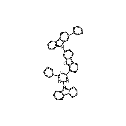 c1ccc(-c2ccc3c4ccccc4n(-c4ccc5c(c4)oc4c(-c6nc(-c7ccccc7)nc(-n7c8ccccc8c8ccccc87)n6)cccc45)c3c2)cc1